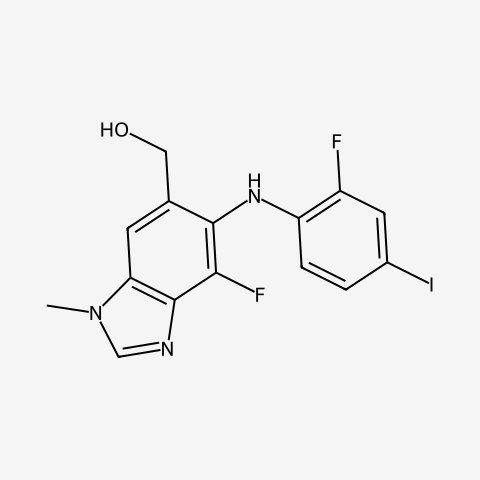 Cn1cnc2c(F)c(Nc3ccc(I)cc3F)c(CO)cc21